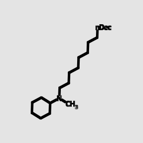 CCCCCCCCCCCCCCCCCCN(C)C1CCCCC1